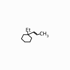 CC=CC1(CC)CCCCC1